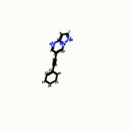 C(#Cc1cnc2ccnn2c1)C1=CCCCC1